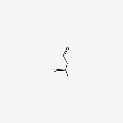 [CH2]C(=O)C[C]=O